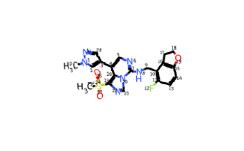 Cn1cc(-c2cnc(NCc3c(F)ccc4c3CCO4)n3cnc(S(C)(=O)=O)c23)cn1